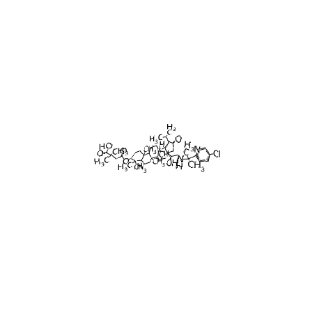 CC(C)C1=C2[C@H]3CCC4[C@@]5(C)CC[C@H](OC(=O)CC(C)(C)C(=O)O)C(C)(C)[C@@H]5CC[C@@]4(C)[C@]3(C)CC[C@@]2([C@H](O)CNC(C)(C)c2ccc(Cl)cn2)CC1=O